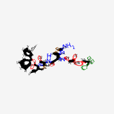 C=CC1=C(C(=O)OC(c2ccccc2)c2ccccc2)N2C(=O)C(NC(=O)/C(=N/OCC(=O)OCC(Cl)(Cl)Cl)c3csc(N)n3)[C@H]2SC1